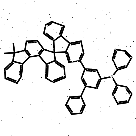 CC1(C)c2ccccc2-c2c1ccc1c2-c2ccccc2C12c1ccccc1-c1ccc(-c3cc(-c4ccccc4)cc(N(c4ccccc4)c4ccccc4)c3)cc12